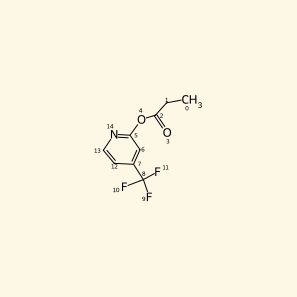 CCC(=O)Oc1cc(C(F)(F)F)ccn1